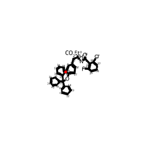 CCOC(=O)C(Cc1ccc(OC(c2ccccc2)(c2ccccc2)c2ccccc2)cc1)NC(=O)c1c(F)cccc1Cl